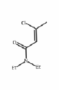 CCN(CC)C(=O)C=C(C)Cl